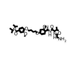 COc1cc(C(=O)N(C(C)C)C(C)C)ccc1OCCCCOc1ccc2c(NC(=O)C(NC(=O)CN)C(C)C)noc2c1